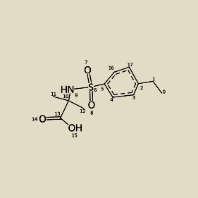 CCc1ccc(S(=O)(=O)NC(C)(C)C(=O)O)cc1